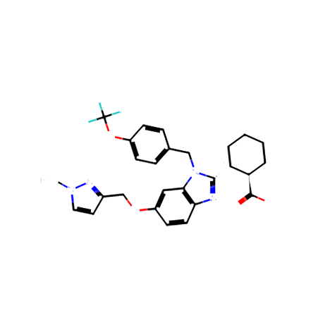 Cn1ccc(COc2ccc3nc([C@@H]4CCCC[C@H]4C(=O)O)n(Cc4ccc(OC(F)(F)F)cc4)c3c2)n1